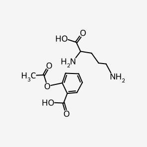 CC(=O)Oc1ccccc1C(=O)O.NCCCC(N)C(=O)O